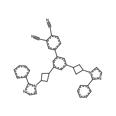 N#Cc1ccc(-c2cc(C3CC(n4ccnc4-c4ccccc4)C3)cc(C3CC(n4ccnc4-c4ccccc4)C3)c2)cc1C#N